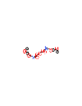 CN(CCCOc1ccc(C(=O)c2ccccc2)cc1)CCC(=O)OCCOCCOC(=O)CCN(C)CCCOc1ccc(C(=O)c2ccccc2)cc1